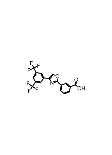 O=C(O)c1cccc(-c2nc(-c3cc(C(F)(F)F)cc(C(F)(F)F)c3)co2)c1